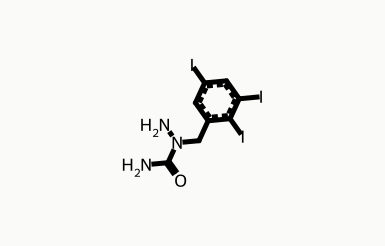 NC(=O)N(N)Cc1cc(I)cc(I)c1I